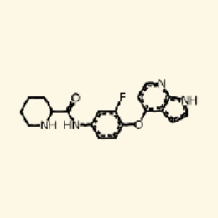 O=C(Nc1ccc(Oc2ccnc3[nH]ccc23)c(F)c1)C1CCCCN1